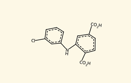 O=C(O)c1ccc(C(=O)O)c(Nc2cccc(Cl)c2)c1